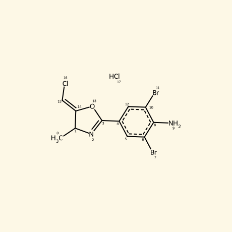 CC1N=C(c2cc(Br)c(N)c(Br)c2)OC1=CCl.Cl